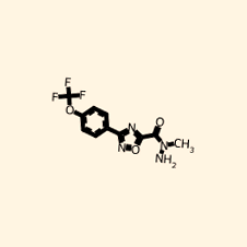 CN(N)C(=O)c1nc(-c2ccc(OC(F)(F)F)cc2)no1